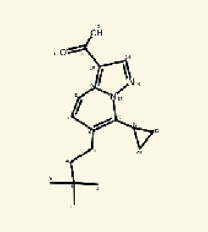 CC(C)(C)CCc1ccc2c(C(=O)O)cnn2c1C1CC1